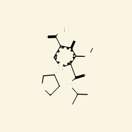 COc1c(C(=O)OC(C)C)n([C@@H]2CCOC2)cc(C(=O)O)c1=O